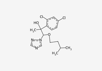 CC(C)CCOC(n1cncn1)C(C)(O)c1ccc(Cl)cc1Cl